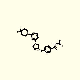 CC(=O)N[C@@H](C)c1ccc(O[C@@H]2CCN(c3ccnc(N4CCC(F)(F)CC4)n3)C2)cc1